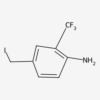 Nc1ccc(CI)cc1C(F)(F)F